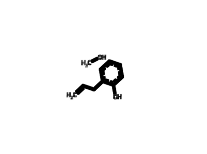 C=CCc1ccccc1O.CO